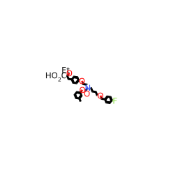 CCOC(Cc1ccc(OCCN(CCCCOCc2ccc(F)cc2)C(=O)Oc2cccc(C)c2)cc1)C(=O)O